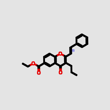 CCCc1c(/C=C/c2ccccc2)oc2ccc(C(=O)OCC)cc2c1=O